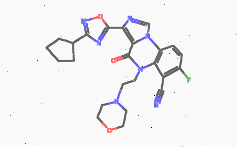 N#Cc1c(F)ccc2c1n(CCN1CCOCC1)c(=O)c1c(-c3nc(C4CCCC4)no3)ncn12